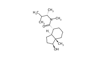 CC(C)[C@H](C)N(C)C(=O)[C@@H]1CCC[C@]2(C)[C@@H](O)CC[C@@H]12